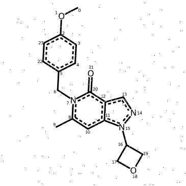 COc1ccc(Cn2c(C)cc3c(cnn3C3COC3)c2=O)cc1